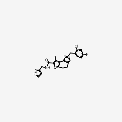 Cc1c(C(=O)NCc2ccon2)oc2c1-c1nn(Cc3ccc(F)cc3Cl)cc1CC2